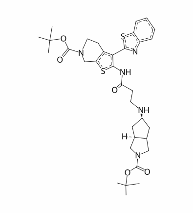 CC(C)(C)OC(=O)N1CCc2c(sc(NC(=O)CCN[C@H]3CC4CN(C(=O)OC(C)(C)C)C[C@H]4C3)c2-c2nc3ccccc3s2)C1